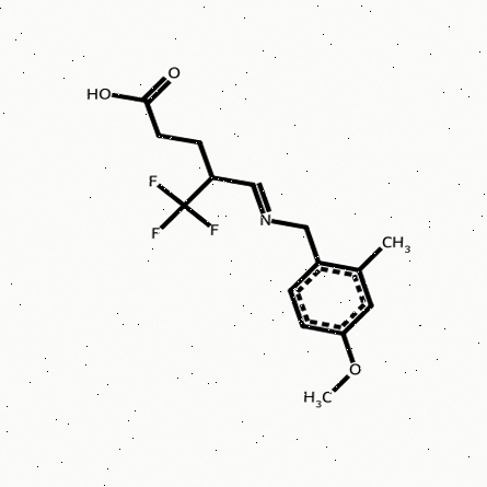 COc1ccc(CN=CC(CCC(=O)O)C(F)(F)F)c(C)c1